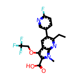 CCc1nc2c(cc1-c1ccc(F)nc1)c(OCC(F)(F)F)c(C(=O)O)n2C